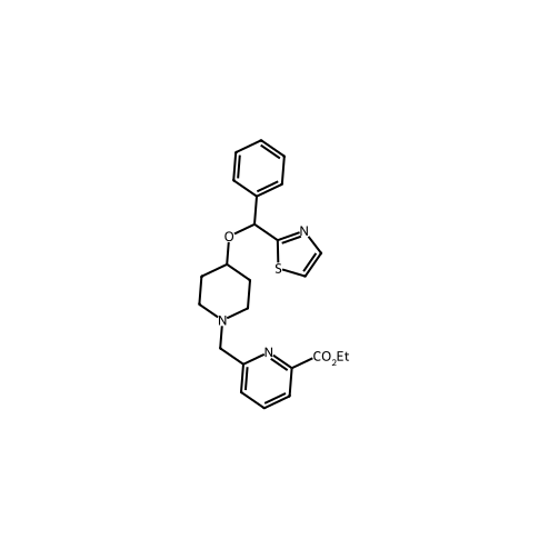 CCOC(=O)c1cccc(CN2CCC(OC(c3ccccc3)c3nccs3)CC2)n1